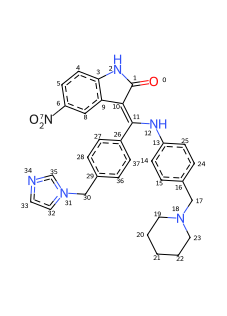 O=C1Nc2ccc([N+](=O)[O-])cc2C1=C(Nc1ccc(CN2CCCCC2)cc1)c1ccc(Cn2ccnc2)cc1